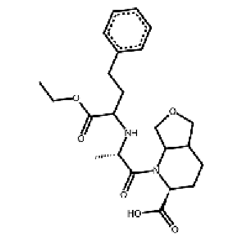 CCOC(=O)C(CCc1ccccc1)N[C@@H](C)C(=O)N1C2COCC2CC[C@H]1C(=O)O